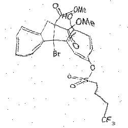 COC(=O)C1(C(=O)OC)Cc2ccccc2C1(Br)c1cc(OS(=O)(=O)CCCC(F)(F)F)ccc1O